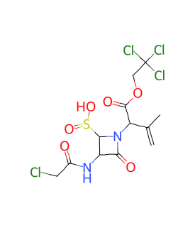 C=C(C)C(C(=O)OCC(Cl)(Cl)Cl)N1C(=O)C(NC(=O)CCl)C1S(=O)O